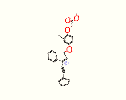 COC(=O)COc1ccc(OC/C=C(/C#Cc2ccccc2)c2ccccc2)cc1C